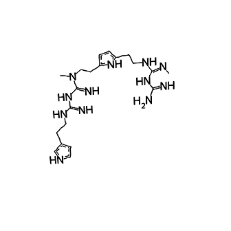 C/N=C(/NCCc1ccc(CCN(C)C(=N)NC(=N)NCCc2cc[nH]c2)[nH]1)NC(=N)N